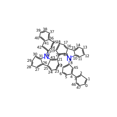 c1ccc(-c2cccc(-n3c4ccccc4c4cccc(-c5cccc6c7ccccc7n(-c7ccc8ccccc8c7)c56)c43)c2)cc1